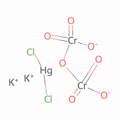 [Cl][Hg][Cl].[K+].[K+].[O]=[Cr](=[O])([O-])[O][Cr](=[O])(=[O])[O-]